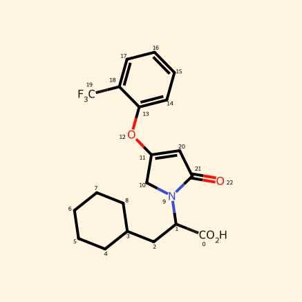 O=C(O)C(CC1CCCCC1)N1CC(Oc2ccccc2C(F)(F)F)=CC1=O